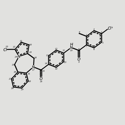 Cc1cc(Cl)ccc1C(=O)Nc1ccc(C(=O)N2Cc3ccc(Cl)n3Cc3ccccc32)cc1